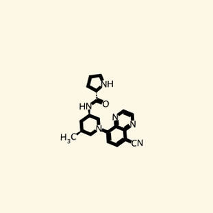 C[C@H]1C[C@@H](NC(=O)[C@@H]2CCCN2)CN(c2ccc(C#N)c3nccnc23)C1